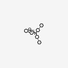 c1ccc(-c2ccc(N(c3ccc(-c4ccccc4)cc3)c3ccc4c(n3)oc3ccccc34)cc2)cc1